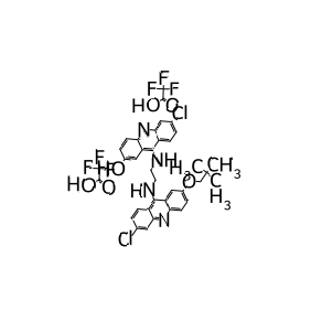 CC(C)(C)COc1ccc2nc3cc(Cl)ccc3c(NCCNc3c4ccc(Cl)cc4nc4ccc(O)cc34)c2c1.O=C(O)C(F)(F)F.O=C(O)C(F)(F)F